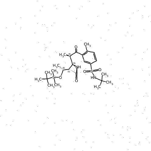 Cc1ccc(S(=O)(=O)NC(C)(C)C)cc1C(=O)[C@H](C)[C@H]1NC(=O)[C@@H]1[C@@H](C)O[Si](C)(C)C(C)(C)C